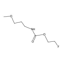 COCCCNC(=O)OCCF